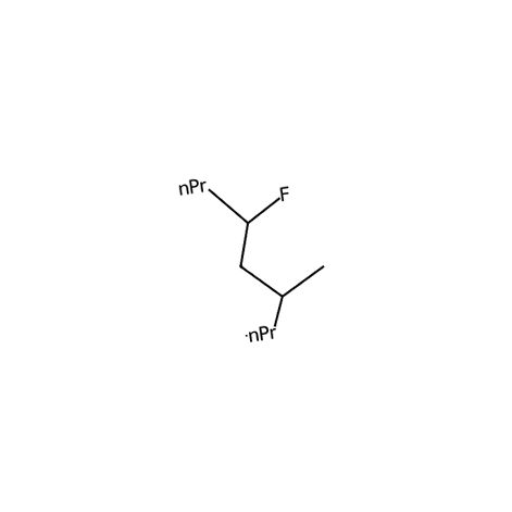 CC[CH]C(C)CC(F)CCC